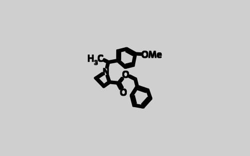 COc1ccc(C(C)N2CCC2C(=O)OCc2ccccc2)cc1